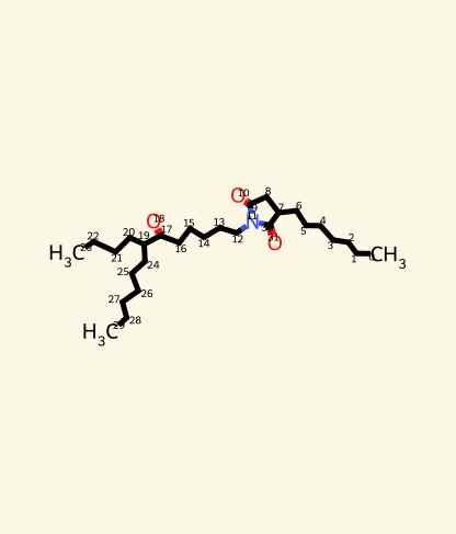 CCCCCCCC1CC(=O)N(CCCCCC(=O)C(CCCC)CCCCCC)C1=O